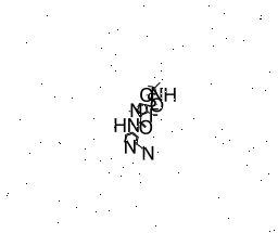 CC(C)NS(=O)(=O)c1cn(C)c(C(=O)Nc2ccnc(C#N)c2)c1F